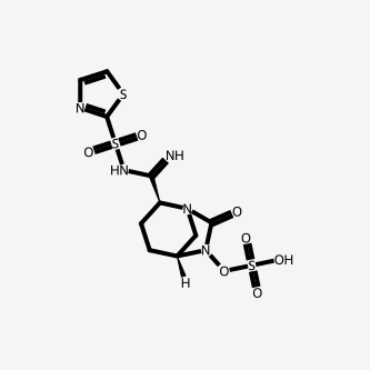 N=C(NS(=O)(=O)c1nccs1)[C@@H]1CC[C@@H]2CN1C(=O)N2OS(=O)(=O)O